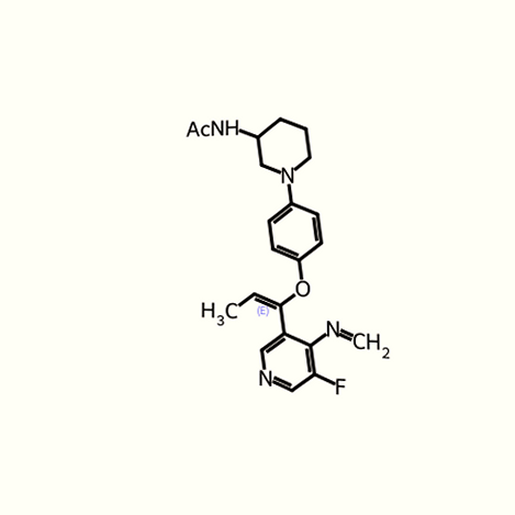 C=Nc1c(F)cncc1/C(=C\C)Oc1ccc(N2CCCC(NC(C)=O)C2)cc1